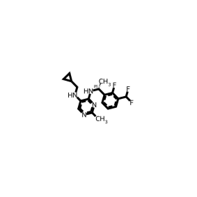 Cc1ncc(NCC2CC2)c(N[C@H](C)c2cccc(C(F)F)c2F)n1